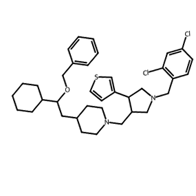 Clc1ccc(CN2CC(CN3CCC(CC(OCc4ccccc4)C4CCCCC4)CC3)C(c3ccsc3)C2)c(Cl)c1